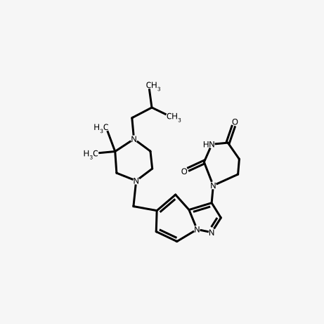 CC(C)CN1CCN(Cc2ccn3ncc(N4CCC(=O)NC4=O)c3c2)CC1(C)C